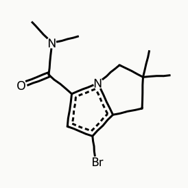 CN(C)C(=O)c1cc(Br)c2n1CC(C)(C)C2